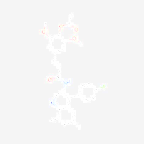 COc1cc(C=CC(=O)Nc2cnc3c(C)cc(C)cc3c2-c2ccc(F)cc2)cc(OC)c1OC(C)=O